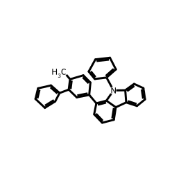 Cc1ccc(-c2cccc3c4ccccc4n(-c4ccccc4)c23)cc1-c1ccccc1